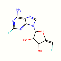 Nc1nc(F)nc2c1ncn2[C@@H]1OC(=CF)C(O)C1O